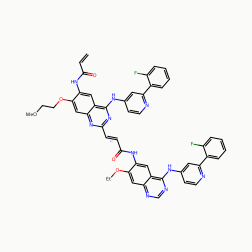 C=CC(=O)Nc1cc2c(Nc3ccnc(-c4ccccc4F)c3)nc(/C=C/C(=O)Nc3cc4c(Nc5ccnc(-c6ccccc6F)c5)ncnc4cc3OCC)nc2cc1OCCOC